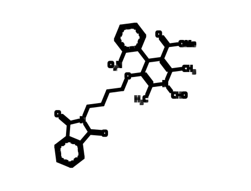 COC(=O)C1=C(C)N(C=O)C(C)=C(OCCCCN2C(=O)c3ccccc3C2=O)C1c1ccccc1[N+](=O)[O-]